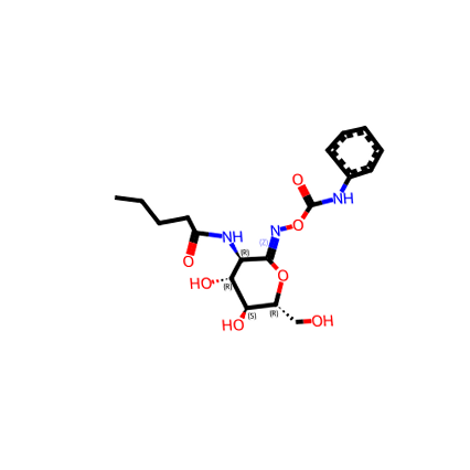 CCCCC(=O)N[C@H]1/C(=N/OC(=O)Nc2ccccc2)O[C@H](CO)[C@@H](O)[C@@H]1O